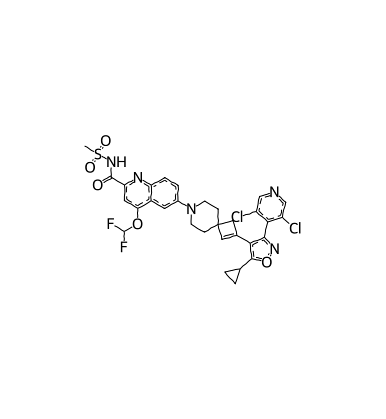 CS(=O)(=O)NC(=O)c1cc(OC(F)F)c2cc(N3CCC4(C=C(c5c(-c6c(Cl)cncc6Cl)noc5C5CC5)C4)CC3)ccc2n1